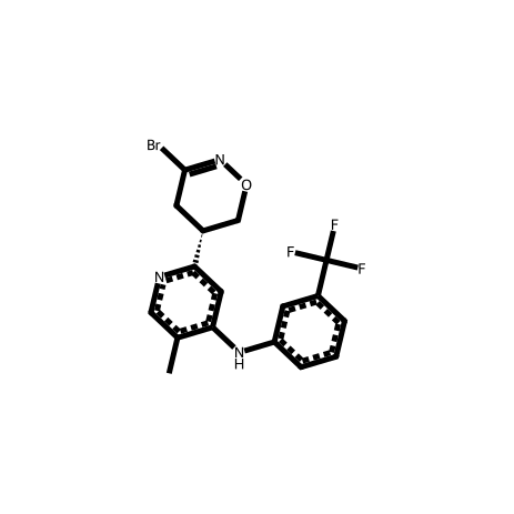 Cc1cnc([C@H]2CON=C(Br)C2)cc1Nc1cccc(C(F)(F)F)c1